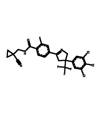 Cc1cc(C2=NCC(c3cc(Cl)c(Cl)c(Cl)c3)(C(F)(F)F)C2)ccc1C(=O)NCC1(C#N)CC1